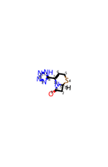 O=C1C[C@@H]2SCC=C(c3nnn[nH]3)N12